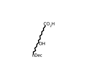 CCCCCCCCCCCCCCCC(O)CCCCCCCCC(=O)O